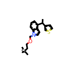 CC(c1ccsc1)c1cccc2c1ccn2COCC[Si](C)(C)C